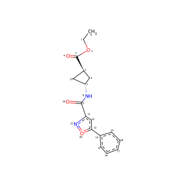 CCOC(=O)[C@H]1C[C@H](NC(=O)c2cc(-c3ccccc3)on2)C1